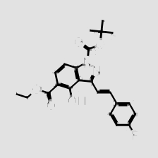 CCOC(=O)c1ccc2c(c(C=Cc3ccc(F)cc3)nn2C(=O)OC(C)(C)C)c1O